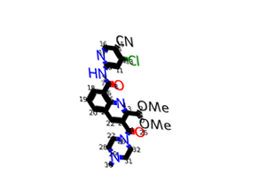 COC(OC)c1nc2c(C(=O)Nc3cc(Cl)c(C#N)cn3)cccc2cc1C(=O)N1CCN(C)CC1